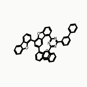 c1ccc(-c2cccc(-c3nc(-c4ccccc4)nc(-c4cccc5oc6c(-c7cccc8c7oc7ccccc78)cc(-c7cccc8c7oc7ccccc78)cc6c45)n3)c2)cc1